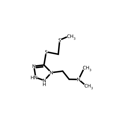 CSCSC1=NNNN1CCN(C)C